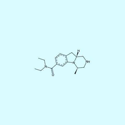 CCN(CC)C(=O)c1ccc2c(c1)N1[C@@H](CNC[C@H]1C)C2